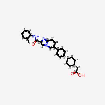 Cc1ccccc1NC(=O)c1cn2cc(-c3ccc([C@H]4CC[C@H](CC(=O)O)CC4)cc3)ccc2n1